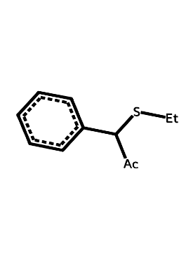 CCSC(C(C)=O)c1ccccc1